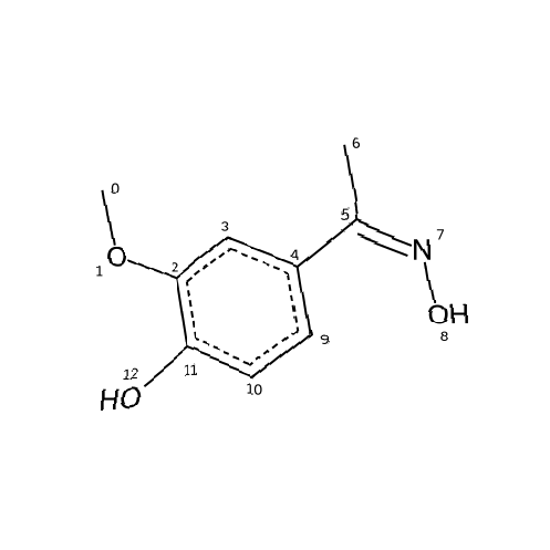 COc1cc(/C(C)=N\O)ccc1O